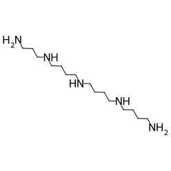 NCCCCNCCCCNCCCCNCCCN